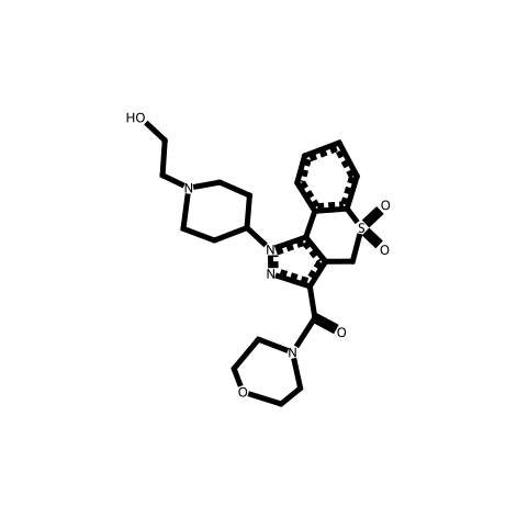 O=C(c1nn(C2CCN(CCO)CC2)c2c1CS(=O)(=O)c1ccccc1-2)N1CCOCC1